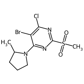 CC1CCCN1c1nc(S(C)(=O)=O)nc(Cl)c1Br